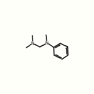 CN(C)CN(C)c1ccccc1